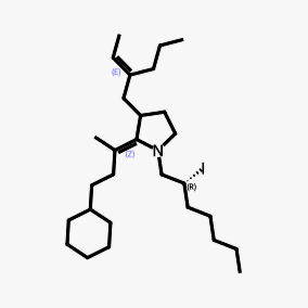 C/C=C(\CCC)CC1CCN(C[C@H](I)CCCCC)/C1=C(/C)CCC1CCCCC1